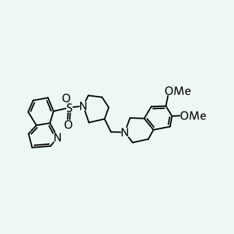 COc1cc2c(cc1OC)CN(CC1CCCN(S(=O)(=O)c3cccc4cccnc34)C1)CC2